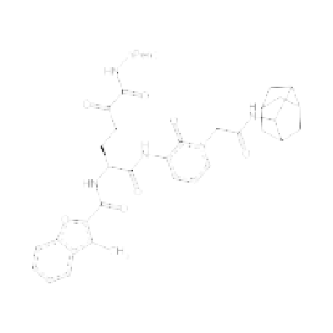 CCCCCNC(=O)C(=O)CC[C@H](NC(=O)c1oc2ccccc2c1C)C(=O)Nc1cccn(CC(=O)NC2C3CC4CC(C3)C2C4)c1=O